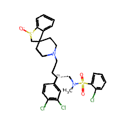 CN(C[C@@H](CCN1CCC2(CC1)C[S+]([O-])c1ccccc12)c1ccc(Cl)c(Cl)c1)S(=O)(=O)c1ccccc1Cl